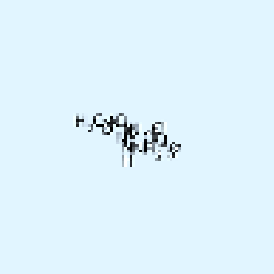 C=CC(=O)N1CCC[C@@H](n2nc(-c3ccc(OCc4cccs4)c(Cl)c3)c3c2=NCNC=3N)C1